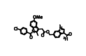 [2H]C(=O)c1cn(C)c2cc(COC(=O)Cc3c(C)n(C(=O)c4ccc(Cl)cc4)c4ccc(OC)cc34)ccc12